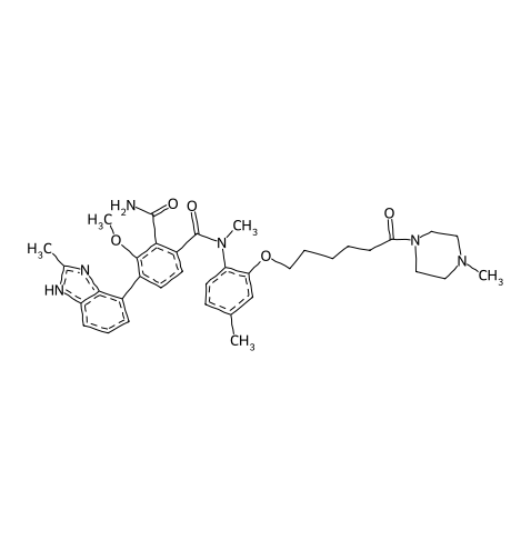 COc1c(-c2cccc3[nH]c(C)nc23)ccc(C(=O)N(C)c2ccc(C)cc2OCCCCCC(=O)N2CCN(C)CC2)c1C(N)=O